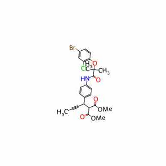 CC#CC(c1ccc(NC(=O)C(C)(C)Oc2ccc(Br)cc2Cl)cc1)C(C(=O)OC)C(=O)OC